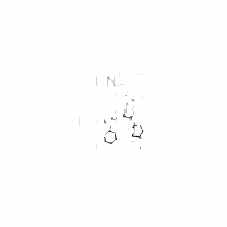 CN(C(=O)N(C)[C@@H]1CN(C(=O)[C@H]2CC[C@@H](NC(=O)O)CC2)C[C@H]1c1ccc(F)cc1)c1cc(C(F)(F)F)cc(C(F)(F)F)c1